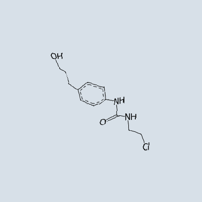 O=C(NCCCl)Nc1ccc(CCCO)cc1